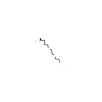 CCCCCCCCCOCCOCCOCCCC(=O)OC(C)C